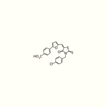 O=C(O)c1ccc(-c2ccc(C=C3SC(=S)N(Cc4ccc(Cl)cc4)C3=O)o2)cc1